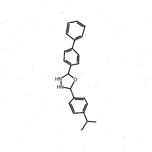 CC(C)c1ccc(C2NNC(c3ccc(-c4ccccc4)cc3)O2)cc1